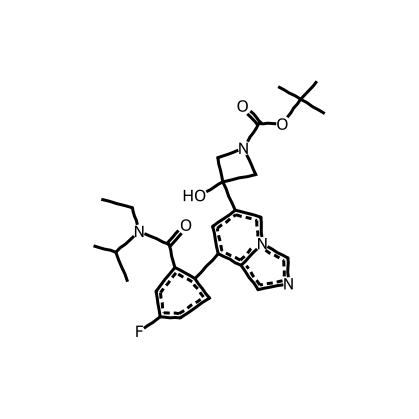 CCN(C(=O)c1cc(F)ccc1-c1cc(C2(O)CN(C(=O)OC(C)(C)C)C2)cn2cncc12)C(C)C